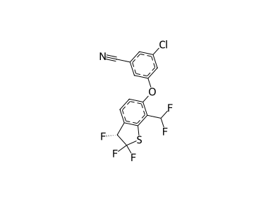 N#Cc1cc(Cl)cc(Oc2ccc3c(c2C(F)F)SC(F)(F)[C@@H]3F)c1